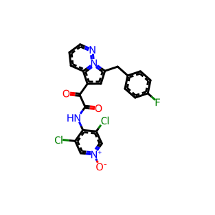 O=C(Nc1c(Cl)c[n+]([O-])cc1Cl)C(=O)c1cc(Cc2ccc(F)cc2)n2ncccc12